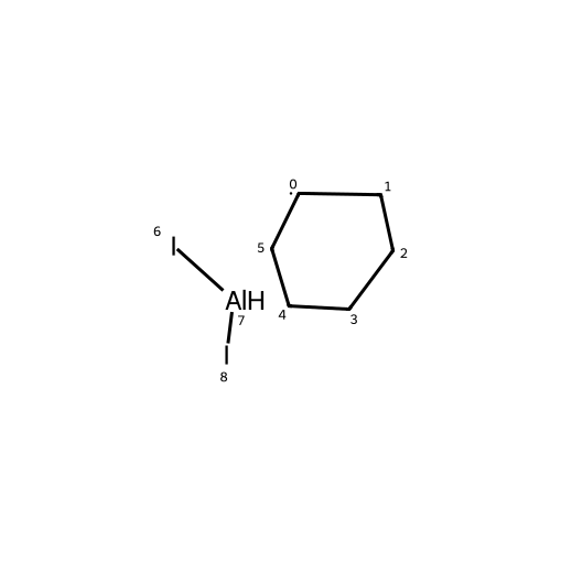 [CH]1CCCCC1.[I][AlH][I]